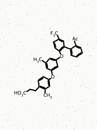 CC(=O)c1ccccc1-c1cc(C(F)(F)F)ccc1Oc1cc(C)cc(Oc2ccc(CCC(=O)O)c(C)c2)c1